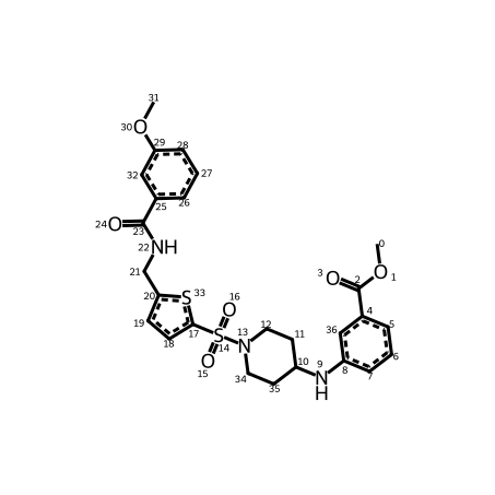 COC(=O)c1cccc(NC2CCN(S(=O)(=O)c3ccc(CNC(=O)c4cccc(OC)c4)s3)CC2)c1